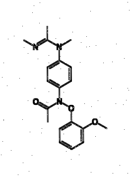 CN=C(C)N(C)c1ccc(N(Oc2ccccc2OC)C(C)=O)cc1